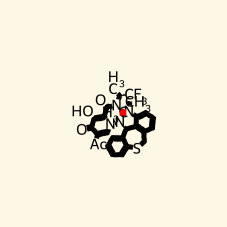 CC(=O)c1cn2c(c(O)c1=O)C(=O)N([C@H](C)C(F)(F)F)CN2[C@@H]1c2ccccc2SCc2cccc(N(C)C)c21